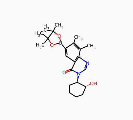 Cc1c(B2OC(C)(C)C(C)(C)O2)cc2c(=O)n([C@@H]3CCCC[C@H]3O)cnc2c1C